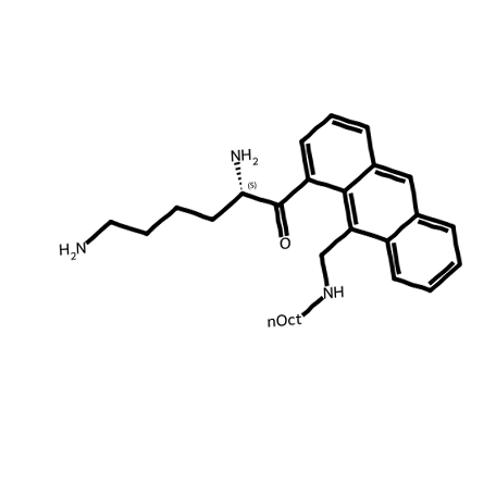 CCCCCCCCNCc1c2ccccc2cc2cccc(C(=O)[C@@H](N)CCCCN)c12